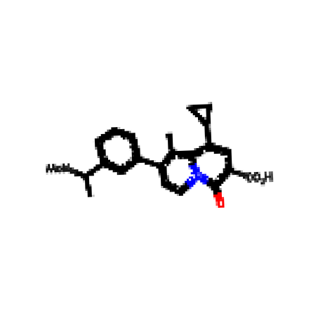 CNC(C)c1cccc(-c2ccn3c(=O)c(C(=O)O)cc(C4CC4)c3c2C)c1